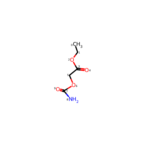 CCOC(=O)COC(N)=O